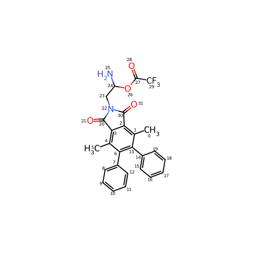 Cc1c2c(c(C)c(-c3ccccc3)c1-c1ccccc1)C(=O)N(CC(N)OC(=O)C(F)(F)F)C2=O